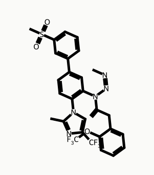 C=C(Cc1ccccc1OC(F)(F)F)N(/N=N\C)c1cc(-c2cccc(S(C)(=O)=O)c2)ccc1-n1cc(C(F)(F)F)nc1C